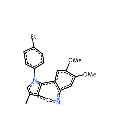 CCc1ccc(-n2cc(C)c3cnc4cc(OC)c(OC)cc4c32)cc1